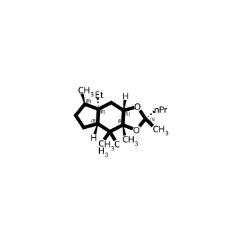 CCC[C@@]1(C)O[C@H]2C[C@]3(CC)[C@H](C)CC[C@H]3C(C)(C)[C@@]2(C)O1